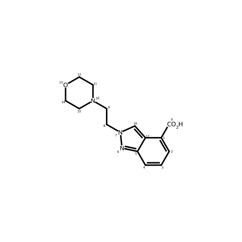 O=C(O)c1cccc2nn(CCN3CCOCC3)cc12